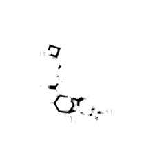 O=C(NOC[C@H]1CCN1)[C@@H]1CC[C@@H]2CN1C(=O)N2OS(=O)(=O)O